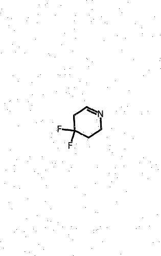 FC1(F)CC=NCC1